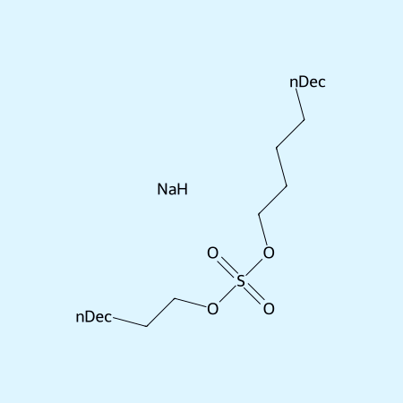 CCCCCCCCCCCCCCOS(=O)(=O)OCCCCCCCCCCCC.[NaH]